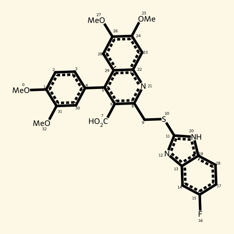 COc1ccc(-c2c(C(=O)O)c(CSc3nc4cc(F)ccc4[nH]3)nc3cc(OC)c(OC)cc23)cc1OC